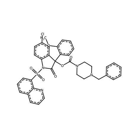 COc1ccccc1C1(OC(=O)N2CCN(Cc3ccccc3)CC2)C(=O)N(S(=O)(=O)c2cccc3cccnc23)c2ccc(Cl)cc21